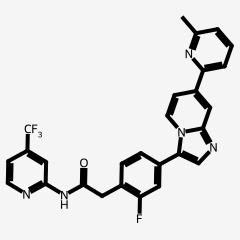 Cc1cccc(-c2ccn3c(-c4ccc(CC(=O)Nc5cc(C(F)(F)F)ccn5)c(F)c4)cnc3c2)n1